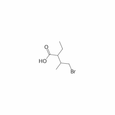 CCC(C(=O)O)C(C)CBr